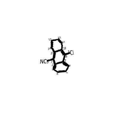 N#Cc1c2ccccc2c(Cl)c2ccccc12